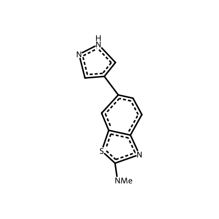 CNc1nc2ccc(-c3cn[nH]c3)cc2s1